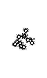 CC1(C)c2ccccc2-c2ccc(-c3nc(-c4ccccc4)nc(-c4cccc(-c5cc6ccccc6c6c5ccc5c7ccccc7ccc56)c4)n3)cc21